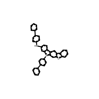 c1ccc(-c2ccc(Nc3ccc4c5cc6c(cc5n(-c5ccc(-c7ccccc7)cc5)c4c3)oc3ccccc36)cc2)cc1